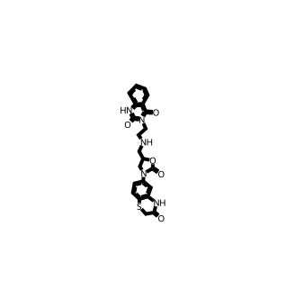 O=C1CSc2ccc(N3CC(CNCCn4c(=O)[nH]c5ccccc5c4=O)OC3=O)cc2N1